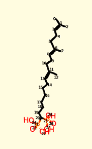 CC(C)=CCC/C(C)=C/CC/C(C)=C/CCCCCCC(P(=O)(O)O)P(=O)(O)O